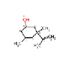 C=C(C)C1(C)CC(C)CC(O)C1